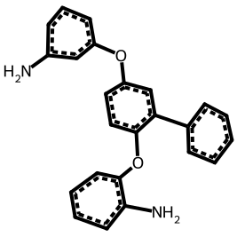 Nc1cccc(Oc2ccc(Oc3ccccc3N)c(-c3ccccc3)c2)c1